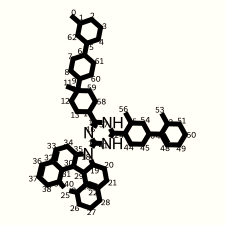 CC1CCCC(C2CCC(C3(C)CCC(C4=NC(N5C6CCC7=C(C(C)CCC7)C6C6C7C(=CCC65)C=CCC7C)NC(C5CCC(C6=CCCCC6C)CC5C)N4)CC3)CC2)C1